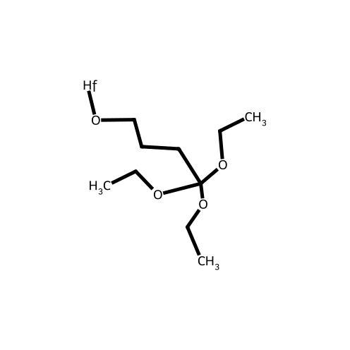 CCOC(CCC[O][Hf])(OCC)OCC